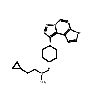 CN(CCC1CC1)C[C@H]1CC[C@H](c2nnn3cnc4[nH]ccc4c23)CC1